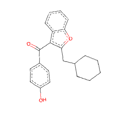 O=C(c1ccc(O)cc1)c1c(CC2CCCCC2)oc2ccccc12